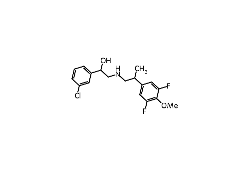 COc1c(F)cc(C(C)CNCC(O)c2cccc(Cl)c2)cc1F